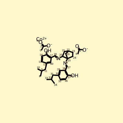 CC(=O)[O-].CC(=O)[O-].CC(C)Cc1ccc(O)c(C=NC2CC3CCC2(N=Cc2cc(CC(C)C)ccc2O)C3)c1.[Co+2]